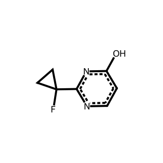 Oc1ccnc(C2(F)CC2)n1